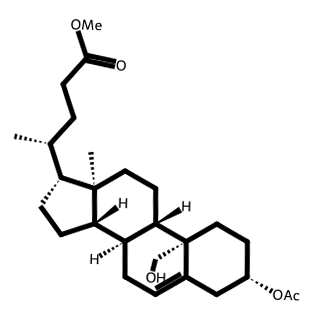 COC(=O)CC[C@@H](C)[C@H]1CC[C@H]2[C@@H]3CC=C4C[C@@H](OC(C)=O)CC[C@]4(CO)[C@H]3CC[C@]12C